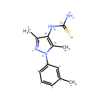 Cc1cccc(-n2nc(C)c(NC(N)=S)c2C)c1